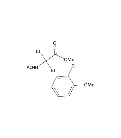 CCC(CC)(NC(C)=O)C(=O)OC.COc1ccccc1Cl